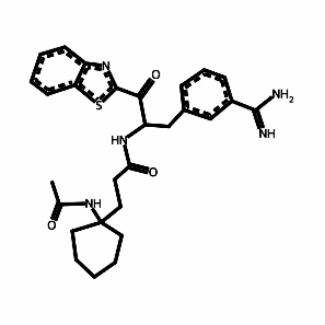 CC(=O)NC1(CCC(=O)NC(Cc2cccc(C(=N)N)c2)C(=O)c2nc3ccccc3s2)CCCCC1